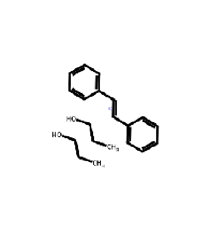 C(=C\c1ccccc1)/c1ccccc1.CCCO.CCCO